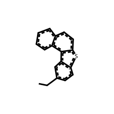 CCc1ccc2sc3ccc4ccccc4c3c2c1